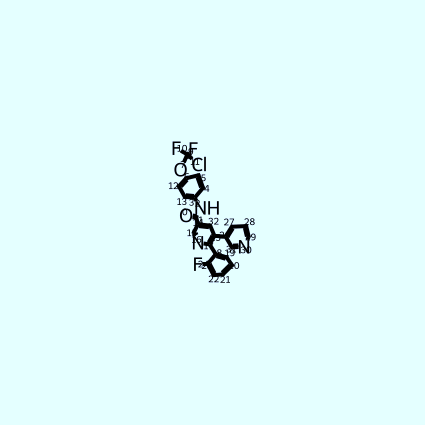 O=C(Nc1ccc(OC(F)(F)Cl)cc1)c1cnc(-c2ccccc2F)c(-c2cccnc2)c1